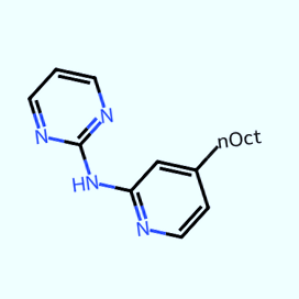 CCCCCCCCc1ccnc(Nc2ncccn2)c1